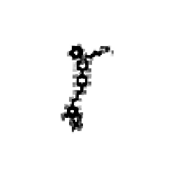 CCCCC[Si]1(c2ccccc2)CCC(C2CCC(CCCCc3cc(F)c(OC(F)(F)F)c(F)c3)CC2)CC1